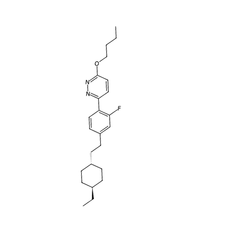 CCCCOc1ccc(-c2ccc(CC[C@H]3CC[C@H](CC)CC3)cc2F)nn1